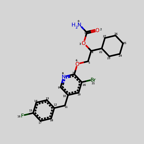 NC(=O)OC(COc1ncc(Cc2ccc(F)cc2)cc1Br)C1CCCCC1